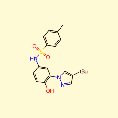 Cc1ccc(S(=O)(=O)Nc2ccc(O)c(-n3cc(C(C)(C)C)cn3)c2)cc1